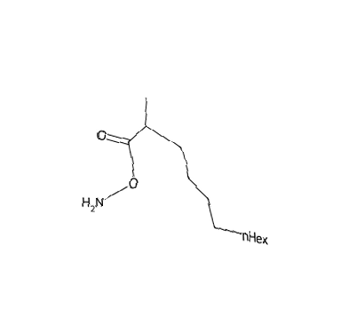 CCCCCCCCCCC(C)C(=O)ON